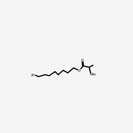 CCCCC(C)C(=O)OCCCCCCCCC(C)C